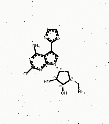 NC[C@H]1C[C@@H](n2cc(-c3nccs3)c3c(N)nc(Cl)nc32)[C@H](O)[C@@H]1O